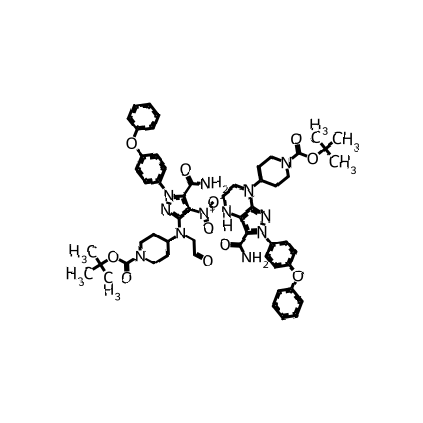 CC(C)(C)OC(=O)N1CCC(N(CC=O)c2nn(-c3ccc(Oc4ccccc4)cc3)c(C(N)=O)c2[N+](=O)[O-])CC1.CC(C)(C)OC(=O)N1CCC(N2CCNc3c2nn(-c2ccc(Oc4ccccc4)cc2)c3C(N)=O)CC1